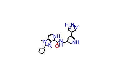 CC/C(=C\N(C)N)C1=CNCC(CNC(=O)C2NC=CC3=C2N(C)C(C2CCCC2)N3C)=C1